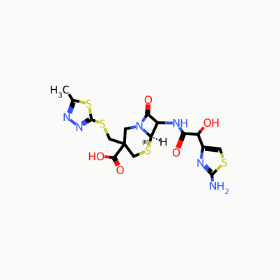 Cc1nnc(SCC2(C(=O)O)CS[C@@H]3C(NC(=O)C(O)c4csc(N)n4)C(=O)N3C2)s1